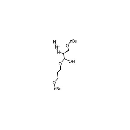 CCCCOCCCOC(O)[C@H](COCCCC)N=[N+]=[N-]